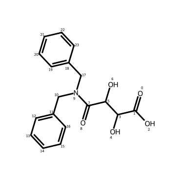 O=C(O)C(O)C(O)C(=O)N(Cc1ccccc1)Cc1ccccc1